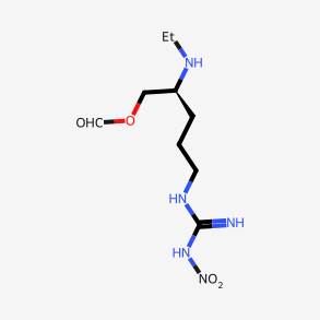 CCN[C@@H](CCCNC(=N)N[N+](=O)[O-])COC=O